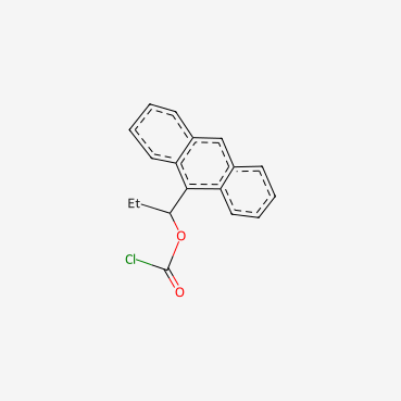 CCC(OC(=O)Cl)c1c2ccccc2cc2ccccc12